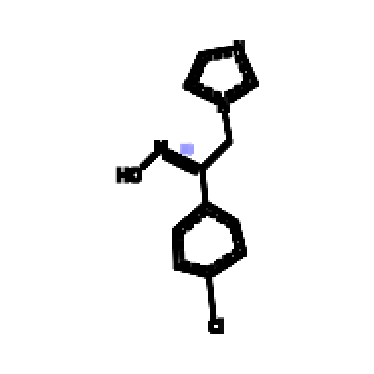 O/N=C(/Cn1ccnc1)c1ccc(Cl)cc1